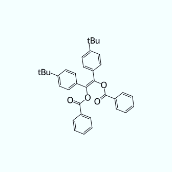 CC(C)(C)c1ccc(C(OC(=O)c2ccccc2)=C(OC(=O)c2ccccc2)c2ccc(C(C)(C)C)cc2)cc1